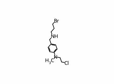 CN(CCCl)c1ccc(CNCCCBr)cc1